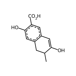 CC1Cc2cc(O)c(C(=O)O)cc2C=C1O